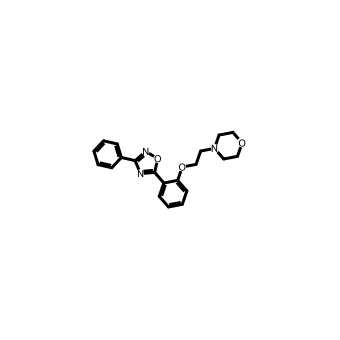 c1ccc(-c2noc(-c3ccccc3OCCN3CCOCC3)n2)cc1